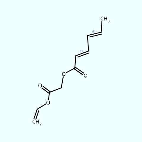 C=COC(=O)COC(=O)/C=C/C=C/C